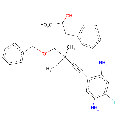 CC(C)(C#Cc1cc(N)c(F)cc1N)COCc1ccccc1.O=C(O)C(O)Cc1ccccc1